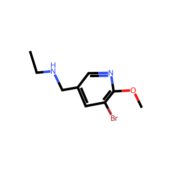 CCNCc1cnc(OC)c(Br)c1